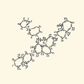 c1ccc(-c2ccc(-n3c4cc(-c5ccc6ccccc6c5)cc5ccc6cc(-c7ccc8ccccc8c7)cc3c6c54)cc2)cc1